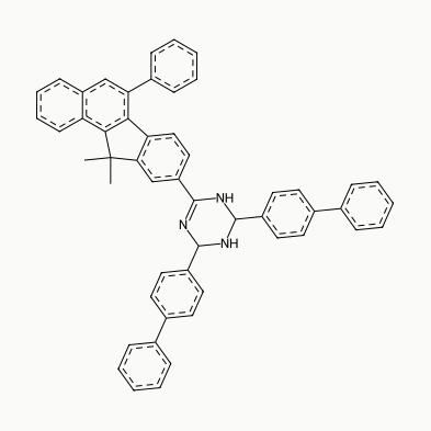 CC1(C)c2cc(C3=NC(c4ccc(-c5ccccc5)cc4)NC(c4ccc(-c5ccccc5)cc4)N3)ccc2-c2c(-c3ccccc3)cc3ccccc3c21